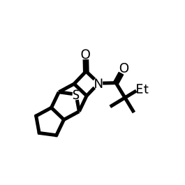 CCC(C)(C)C(=O)N1C(=O)C2C3SC(C4CCCC43)C21